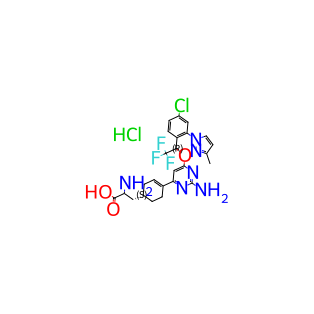 Cc1ccn(-c2cc(Cl)ccc2[C@@H](Oc2cc(C3=CC[C@@H](CC(N)C(=O)O)CC3)nc(N)n2)C(F)(F)F)n1.Cl